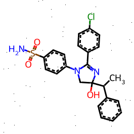 CC(c1ccccc1)C1(O)CN(c2ccc(S(N)(=O)=O)cc2)C(c2ccc(Cl)cc2)=N1